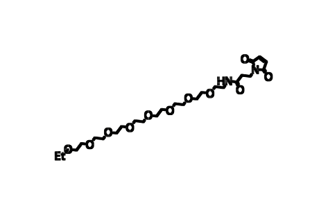 CCOCCOCCOCCOCCOCCOCCOCCOCCNC(=O)CCN1C(=O)C=CC1=O